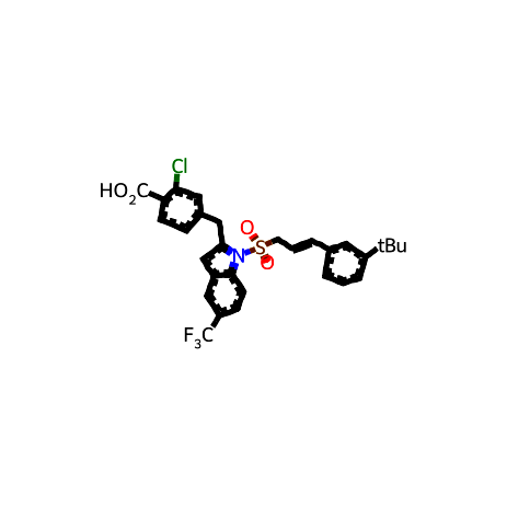 CC(C)(C)c1cccc(C=CCS(=O)(=O)n2c(Cc3ccc(C(=O)O)c(Cl)c3)cc3cc(C(F)(F)F)ccc32)c1